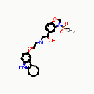 CS(=O)(=O)N1COc2ccc(C(O)CNCCOc3ccc4[nH]c5c(c4c3)CCCCC5)cc21